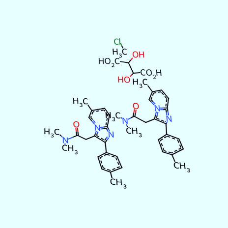 CCl.Cc1ccc(-c2nc3ccc(C)cn3c2CC(=O)N(C)C)cc1.Cc1ccc(-c2nc3ccc(C)cn3c2CC(=O)N(C)C)cc1.O=C(O)C(O)C(O)C(=O)O